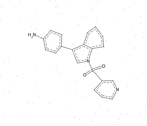 Nc1ccc(-c2cn(S(=O)(=O)c3cccnc3)c3ccccc23)cc1